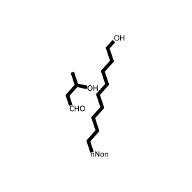 CC(O)CC=O.CCCCCCCCCCCCCCCCCCO